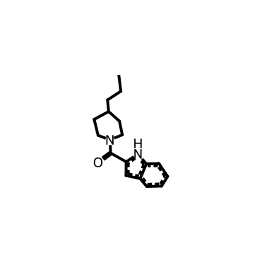 CCCC1CCN(C(=O)c2cc3ccccc3[nH]2)CC1